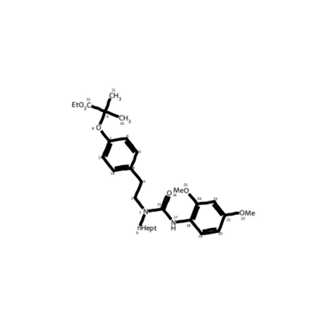 CCCCCCCN(CCc1ccc(OC(C)(C)C(=O)OCC)cc1)C(=O)Nc1ccc(OC)cc1OC